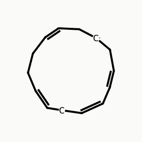 [CH]1CC=CC=CCC=CCCC=CC1